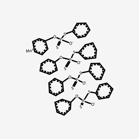 [Mo+4].[O-]P(=S)(Oc1ccccc1)Sc1ccccc1.[O-]P(=S)(Oc1ccccc1)Sc1ccccc1.[O-]P(=S)(Oc1ccccc1)Sc1ccccc1.[O-]P(=S)(Oc1ccccc1)Sc1ccccc1